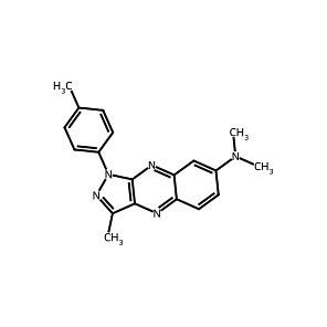 Cc1ccc(-n2nc(C)c3nc4ccc(N(C)C)cc4nc32)cc1